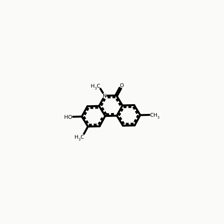 Cc1ccc2c(c1)c(=O)n(C)c1cc(O)c(C)cc21